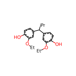 CCOc1cc(C(c2ccc(O)c(OCC)c2)C(C)C)ccc1O